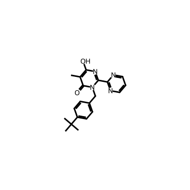 Cc1c(O)nc(-c2ncccn2)n(Cc2ccc(C(C)(C)C)cc2)c1=O